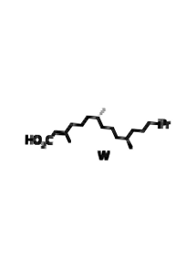 C/C(=C\C(=O)O)CCC[C@H](C)CCC[C@H](C)CCCC(C)C.[W]